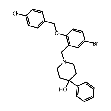 OC1(c2ccccc2)CCN(Cc2cc(Br)ccc2OCc2ccc(Cl)cc2)CC1